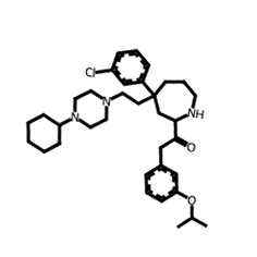 CC(C)Oc1cccc(CC(=O)C2CC(CCN3CCN(C4CCCCC4)CC3)(c3cccc(Cl)c3)CCCN2)c1